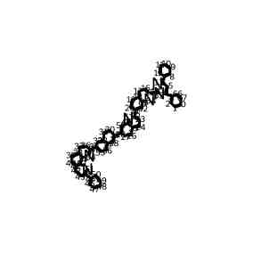 c1ccc(-c2cc(-c3ccccc3)nc(-c3ccc4ccc(-c5ccc6ccc(-c7ccc8cc(-c9ccc%10ccc%11ccc(-c%12ccccc%12)nc%11c%10n9)ccc8c7)cc6n5)cc4n3)n2)cc1